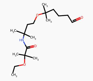 CCOC(C)(C)C(=O)NC(C)(C)CCOC(C)(C)CCCC=O